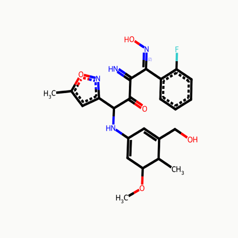 COC1C=C(NC(C(=O)C(=N)/C(=N\O)c2ccccc2F)c2cc(C)on2)C=C(CO)C1C